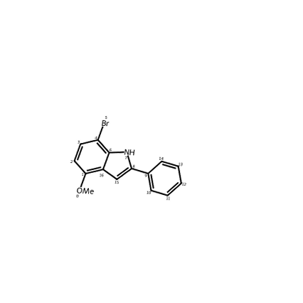 COc1ccc(Br)c2[nH]c(-c3ccccc3)cc12